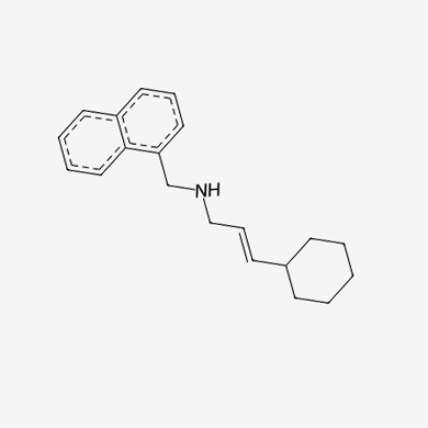 C(=C\C1CCCCC1)/CNCc1cccc2ccccc12